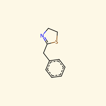 c1ccc(CC2=NCCS2)cc1